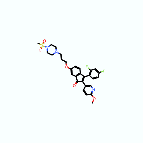 COc1ccc(C2=C(c3ccc(F)cc3F)c3ccc(OCCCN4CCN(S(C)(=O)=O)CC4)cc3C2=O)cn1